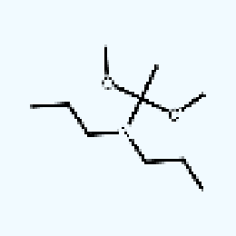 CCCN(CCC)C(C)(OC)OC